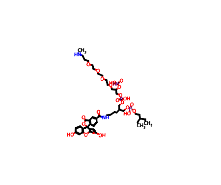 CCC(CC)CCOP(=O)(O)OCC(CCCCNC(=O)c1ccc2c(c1)C(=O)OC21c2ccc(O)cc2Oc2cc(O)ccc21)COP(=O)(O)OCC(COCCOCCOCCOCCCNC)O[PH](=O)O